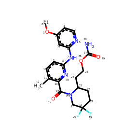 CCOc1ccnc(Nc2ccc(C)c(C(=O)N3CC(F)(F)CCC3CCOC(N)=O)n2)c1